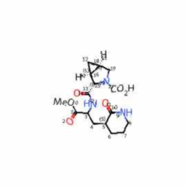 COC(=O)C(C[C@@H]1CCCNC1=O)NC(=O)[C@@H]1[C@H]2C[C@H]2CN1C(=O)O